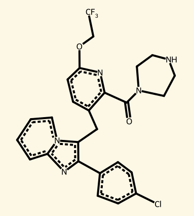 O=C(c1nc(OCC(F)(F)F)ccc1Cc1c(-c2ccc(Cl)cc2)nc2ccccn12)N1CCNCC1